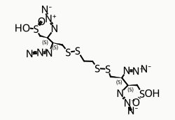 [N-]=[N+]=N[C@H](CSSCCSSC[C@@H](N=[N+]=[N-])[C@@H](CS(=O)O)N=[N+]=[N-])[C@@H](CS(=O)O)N=[N+]=[N-]